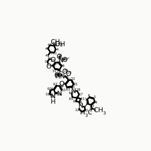 CC(C)c1ccccc1[C@H]1CCCN1C1CC2(CCN(c3ccc(C(=O)NS(=O)(=O)c4cc5c(c([N+](=O)[O-])c4)O[C@@H](CC4CCC(C)(O)CC4)CO5)c(Oc4cnc5[nH]ccc5c4)c3)CC2)C1